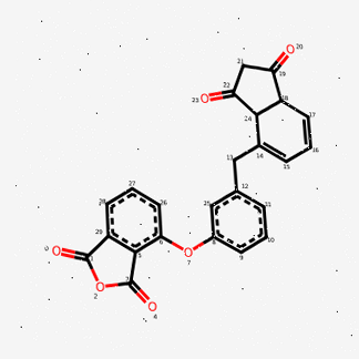 O=C1OC(=O)c2c(Oc3cccc(CC4=CC=CC5C(=O)CC(=O)C45)c3)cccc21